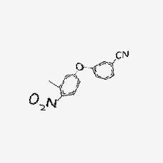 Cc1cc(Oc2cccc(C#N)c2)ccc1[N+](=O)[O-]